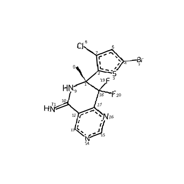 C[C@]1(c2sc(Br)cc2Cl)NC(=N)c2cncnc2C1(F)F